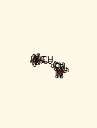 CC1(C)c2cc(-c3cccc(-c4ccc5c(c4)C(C)(C)c4cc(-c6nc(-n7c8ccccc8c8ccccc87)nc(-n7c8ccccc8c8ccccc87)n6)ccc4-5)c3)ccc2-c2ccc(-c3nc(-n4c5ccccc5c5ccccc54)nc(-n4c5ccccc5c5ccccc54)n3)cc21